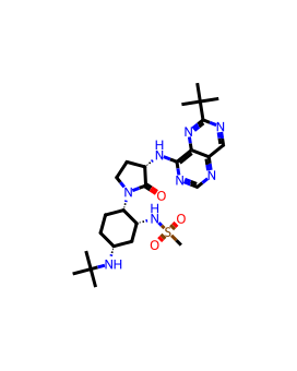 CC(C)(C)N[C@@H]1CC[C@H](N2CC[C@H](Nc3ncnc4cnc(C(C)(C)C)nc34)C2=O)[C@H](NS(C)(=O)=O)C1